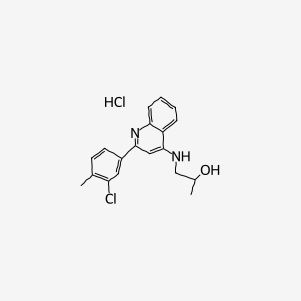 Cc1ccc(-c2cc(NCC(C)O)c3ccccc3n2)cc1Cl.Cl